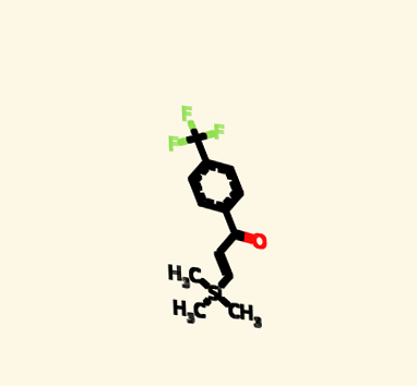 C[Si](C)(C)/C=C/C(=O)c1ccc(C(F)(F)F)cc1